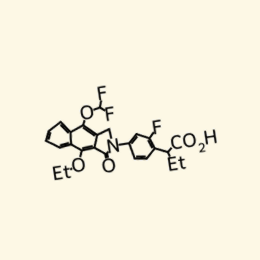 CCOc1c2c(c(OC(F)F)c3ccccc13)CN(c1ccc(C(CC)C(=O)O)c(F)c1)C2=O